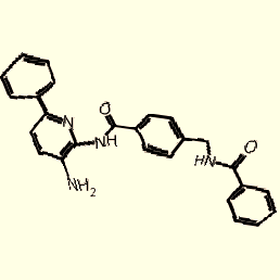 Nc1ccc(-c2ccccc2)nc1NC(=O)c1ccc(CNC(=O)c2ccccc2)cc1